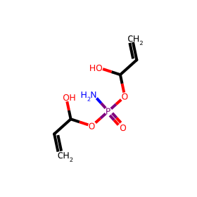 C=CC(O)OP(N)(=O)OC(O)C=C